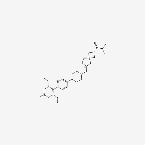 CCC1CN(C)CC(CC)N1c1ncc(C2CCN(C[C@H]3CC[C@]4(C3)C[C@@H](C(=O)C(C)C)C4)CC2)cn1